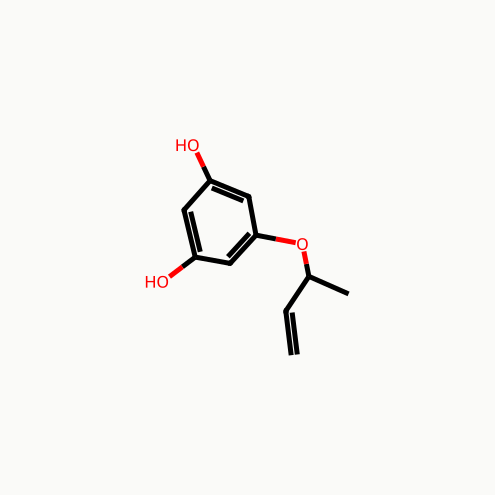 C=CC(C)Oc1cc(O)cc(O)c1